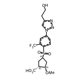 CO[C@@H]1C[C@H](S(=O)(=O)c2ccc(-n3cc(CCO)nn3)cc2C(F)(F)F)C[C@H]1C(=O)O